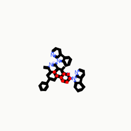 C=C(/N=C(\c1ccc2ccc(-n3c4ccccc4c4cccnc43)nc2c1C)n1c2ccccc2c2cccnc21)c1cc(-c2ccccc2)cc(-c2ccccc2)c1